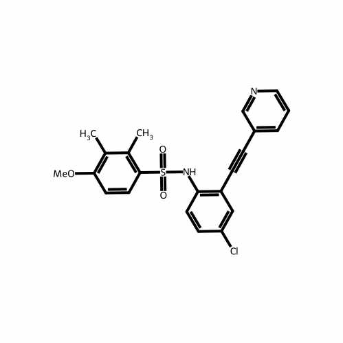 COc1ccc(S(=O)(=O)Nc2ccc(Cl)cc2C#Cc2cccnc2)c(C)c1C